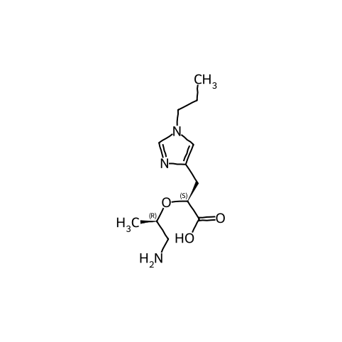 CCCn1cnc(C[C@H](O[C@H](C)CN)C(=O)O)c1